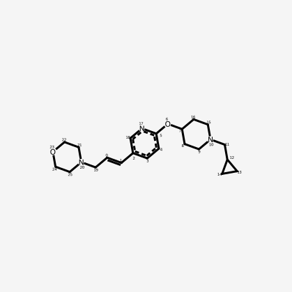 C(=Cc1ccc(OC2CCN(CC3CC3)CC2)nc1)CN1CCOCC1